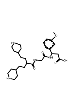 COc1cccc(C(CC(=O)O)NC(=O)CNC(=O)C(CCC2CCNCC2)CCC2CCNCC2)c1